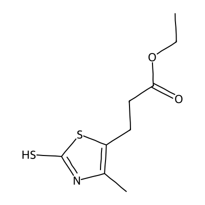 CCOC(=O)CCc1sc(S)nc1C